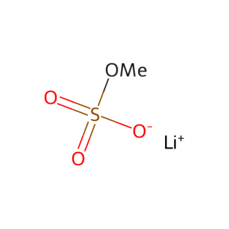 COS(=O)(=O)[O-].[Li+]